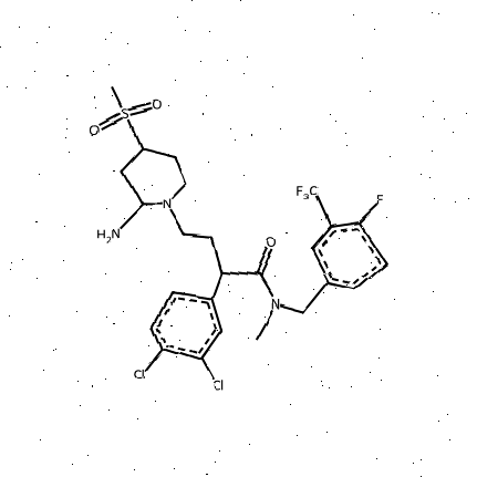 CN(Cc1ccc(F)c(C(F)(F)F)c1)C(=O)C(CCN1CCC(S(C)(=O)=O)CC1N)c1ccc(Cl)c(Cl)c1